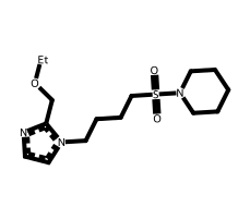 CCOCc1nccn1CCCCS(=O)(=O)N1CCCCC1